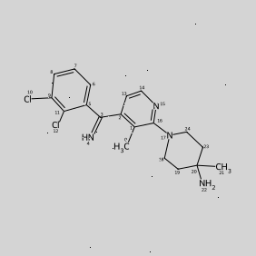 Cc1c(C(=N)c2cccc(Cl)c2Cl)ccnc1N1CCC(C)(N)CC1